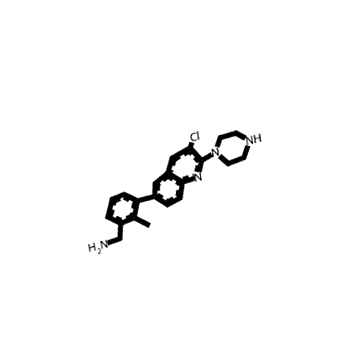 Cc1c(CN)cccc1-c1ccc2nc(N3CCNCC3)c(Cl)cc2c1